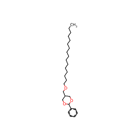 CCCCCCCCCCCCCCCCOCC1COC(c2ccccc2)OC1